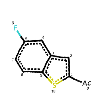 CC(=O)c1cc2cc(F)ccc2s1